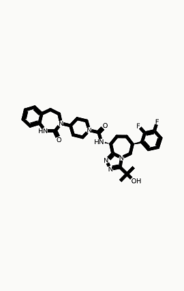 CC(C)(O)c1nnc2n1C[C@H](c1cccc(F)c1F)CC[C@H]2NC(=O)N1CCC(N2CCc3ccccc3NC2=O)CC1